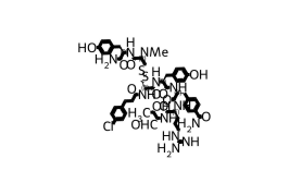 CN[C@@H](CSSC[C@@H](NC(=O)CCc1ccc(Cl)cc1)C(=O)N[C@@H](Cc1ccc(O)cc1)C(=O)N[C@H](Cc1ccc(C(N)=O)cc1)C(=O)N[C@@H](CCCNC(=N)N)C(=O)NC(C=O)C(C)O)C(=O)N[C@H](Cc1ccc(O)cc1)C(N)=O